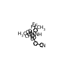 Cc1cc(NC(=O)CC(=O)c2cccc(-c3ccncc3)c2)c(NC(=O)OC(C)(C)C)cc1C(F)(F)F